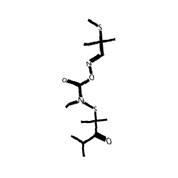 CSC(C)(C)/C=N/OC(=O)N(C)SC(C)(C)C(=O)C(C)C